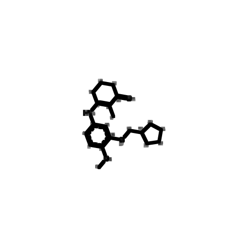 COc1ccc(NC2=C(C)C(=O)CCC2)cc1OCC1CCCC1